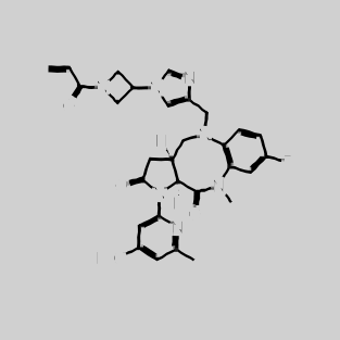 C=CC(=O)N1CC(n2cnc(CN3C[C@H]4CC(=O)N(c5cc(C(F)(F)F)cc(C)n5)[C@@H]4C(=O)N(C)c4cc(F)ccc43)c2)C1